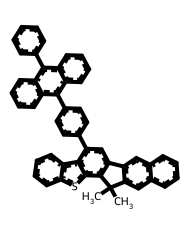 CC1(C)c2cc3ccccc3cc2-c2cc(-c3ccc(-c4c5ccccc5c(-c5ccccc5)c5ccccc45)cc3)c3c(sc4ccccc43)c21